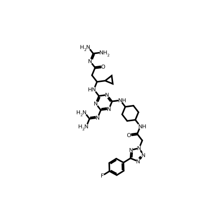 NC(N)=NC(=O)CC(Nc1nc(N=C(N)N)nc(NC2CCC(NC(=O)Cn3nnc(-c4ccc(F)cc4)n3)CC2)n1)C1CC1